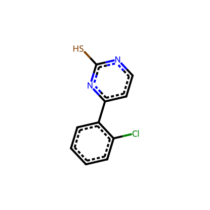 Sc1nccc(-c2ccccc2Cl)n1